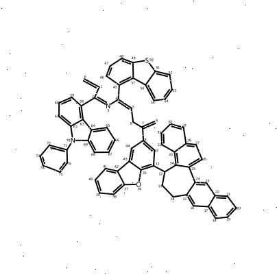 C=C/C(=N\C(=C/CC(=C)c1cc(C2CCc3cc4ccccc4cc3-c3ccc4ccccc4c32)c2oc3ccccc3c2c1)c1cccc2sc3ccccc3c12)c1cccc2c1c1ccccc1n2-c1ccccc1